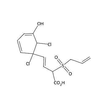 C=CCS(=O)(=O)C(C=CC1(Cl)C=CC=C(O)C1Cl)C(=O)O